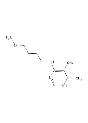 COCCCCNC1=C(C)C(C)NC=N1